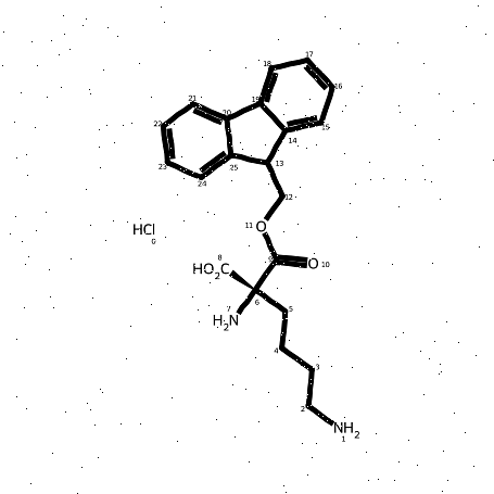 Cl.NCCCC[C@@](N)(C(=O)O)C(=O)OCC1c2ccccc2-c2ccccc21